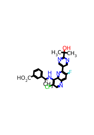 C[C@@H](Nc1c(Cl)cnc2cc(F)c(-c3cnc(C(C)(C)O)nc3)nc12)c1cccc(C(=O)O)c1